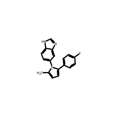 Cc1[c]cc(-c2ccc(F)cc2)n1-c1ccc2[nH]cnc2c1